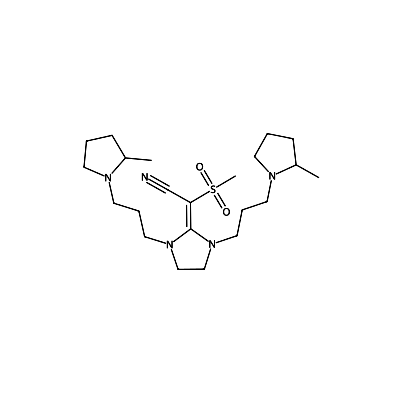 CC1CCCN1CCCN1CCN(CCCN2CCCC2C)C1=C(C#N)S(C)(=O)=O